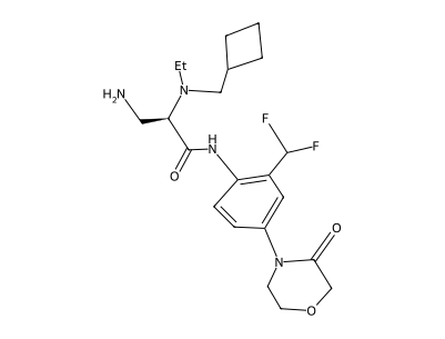 CCN(CC1CCC1)[C@H](CN)C(=O)Nc1ccc(N2CCOCC2=O)cc1C(F)F